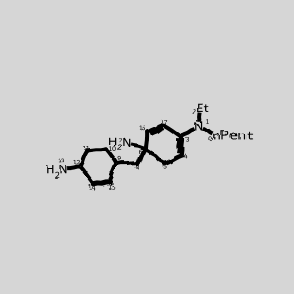 CCCCCN(CC)C1=CCC(N)(CC2CCC(N)CC2)C=C1